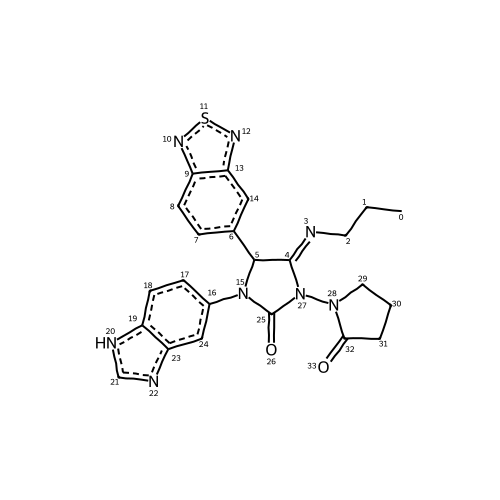 CCCN=C1C(c2ccc3nsnc3c2)N(c2ccc3[nH]cnc3c2)C(=O)N1N1CCCC1=O